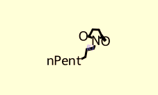 CCCCCC/C=C/N1C(=O)CCC1=O